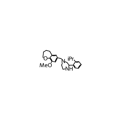 COc1cc(CN2CCNC(c3ccccc3C(C)C)C2)cc2c1OCCCC2